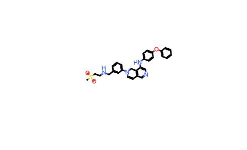 CS(=O)(=O)CCNCc1cccc(N2C=Cc3cncc(Nc4ccc(Oc5ccccc5)cc4)c3C2)c1